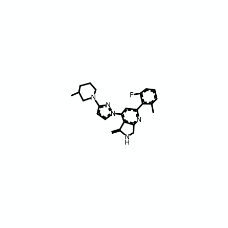 C=C1NCc2nc(-c3c(C)cccc3F)cc(-n3ccc(N4CCCC(C)C4)n3)c21